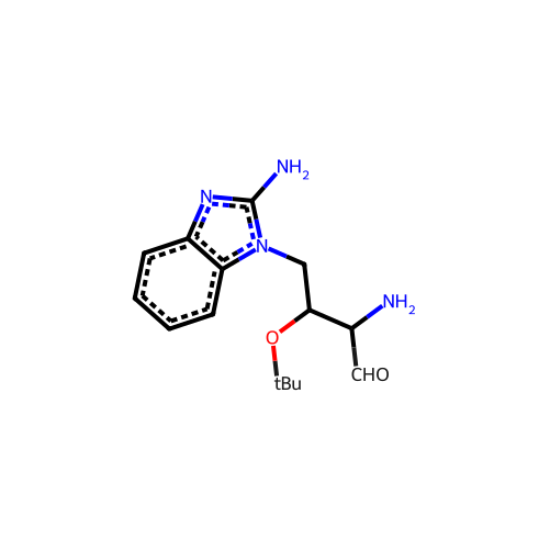 CC(C)(C)OC(Cn1c(N)nc2ccccc21)C(N)C=O